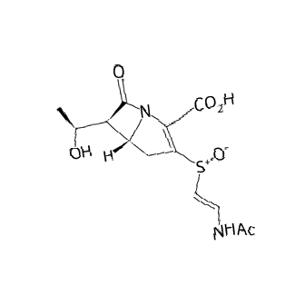 CC(=O)NC=C[S+]([O-])C1=C(C(=O)O)N2C(=O)[C@H]([C@H](C)O)[C@H]2C1